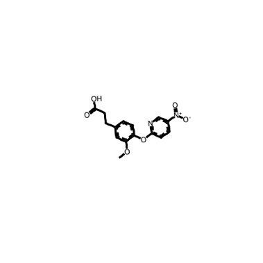 COc1cc(CCC(=O)O)ccc1Oc1ccc([N+](=O)[O-])cn1